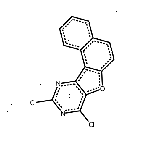 Clc1nc(Cl)c2oc3ccc4ccccc4c3c2n1